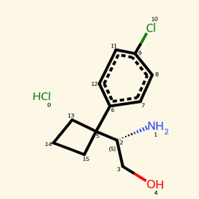 Cl.N[C@H](CO)C1(c2ccc(Cl)cc2)CCC1